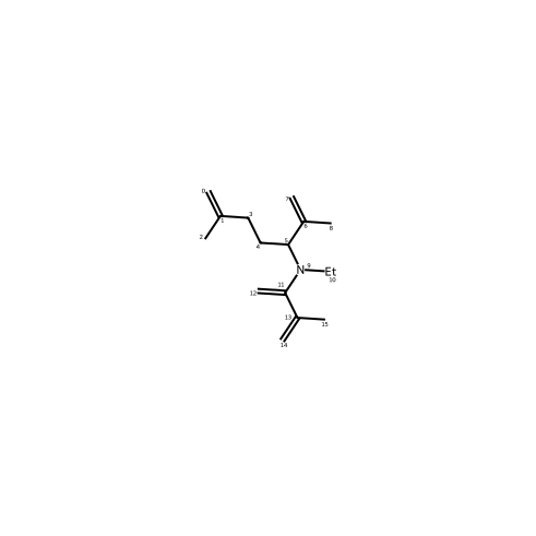 C=C(C)CCC(C(=C)C)N(CC)C(=C)C(=C)C